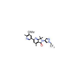 COc1cc(-c2cc(C)c3c(n2)C(C)(C)N(c2cnn(CC(F)(F)F)c2)C3=O)cnc1C